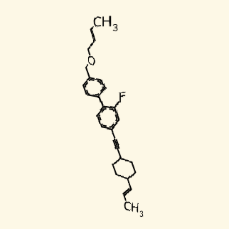 CC=CCOCc1ccc(-c2ccc(C#CC3CCC(C=CC)CC3)cc2F)cc1